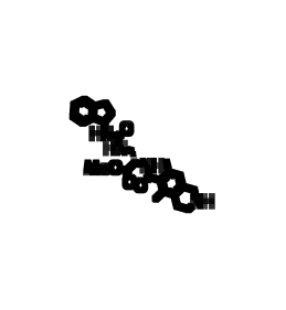 COC(=O)[C@H](CNC(=O)NC1CCc2ccccc21)NC(=O)c1c(C)cc2c(c1C)CCNC2